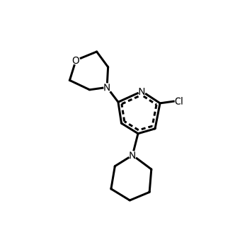 Clc1cc(N2CCCCC2)cc(N2CCOCC2)n1